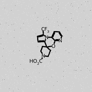 O=C(O)N1CCC2(CC1)Oc1ncccc1-n1c(C(F)(F)F)ccc12